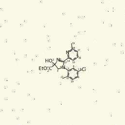 CCOC(=O)C1(O)CN(c2cc(Cl)ccc2C)C(c2cccc(C)n2)=N1